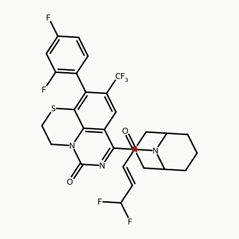 O=C(/C=C/C(F)F)N1C2CCCC1CN(c1nc(=O)n3c4c(c(-c5ccc(F)cc5F)c(C(F)(F)F)cc14)SCC3)C2